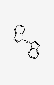 C1=C[CH]([Sc][CH]2C=Cc3ccccc32)c2ccccc21